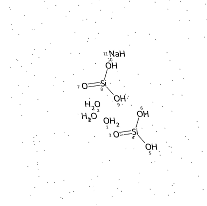 O.O.O.O=[Si](O)O.O=[Si](O)O.[NaH]